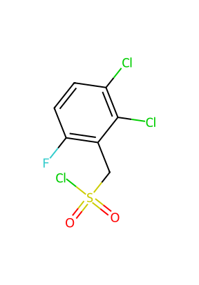 O=S(=O)(Cl)Cc1c(F)ccc(Cl)c1Cl